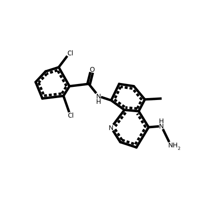 Cc1ccc(NC(=O)c2c(Cl)cccc2Cl)c2nccc(NN)c12